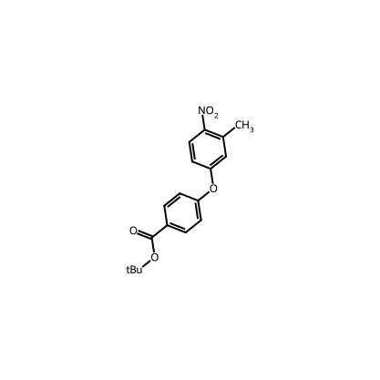 Cc1cc(Oc2ccc(C(=O)OC(C)(C)C)cc2)ccc1[N+](=O)[O-]